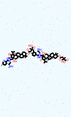 CNCCn1c(-c2ccc(F)cn2)nnc1[C@H](O)[C@@]12CC[C@]3(C)[C@H](CCC4[C@@]5(C)CC[C@H](OC(=O)CC(C)(Cc6cc(-c7nnc([C@@H](O)[C@@]89CC[C@]%10(C)[C@H](CCC%11[C@@]%12(C)CC[C@H](OC(=O)CC(C)(C)C(=O)O)C(C)(C)C%12CC[C@]%11%10C)C8=C(C(C)C)C(=O)C9)n7CCN)ccc6F)C(=O)O)C(C)(C)[C@@H]5CC[C@]43C)C1=C(C(C)C)C(=O)C2